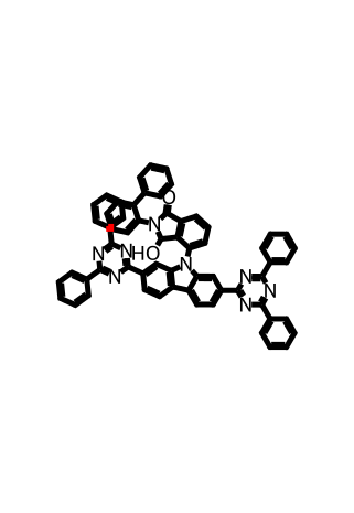 O=C1c2cccc(-n3c4cc(-c5nc(-c6ccccc6)nc(-c6ccccc6)n5)ccc4c4ccc(-c5nc(-c6ccccc6)nc(-c6ccccc6)n5)cc43)c2C(O)N1c1ccccc1-c1ccccc1